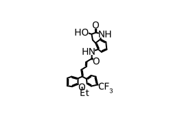 CCOc1ccccc1C(=CC=CC(=O)Nc1cccc2c1CC(O)C(=O)N2)c1ccc(C(F)(F)F)cc1